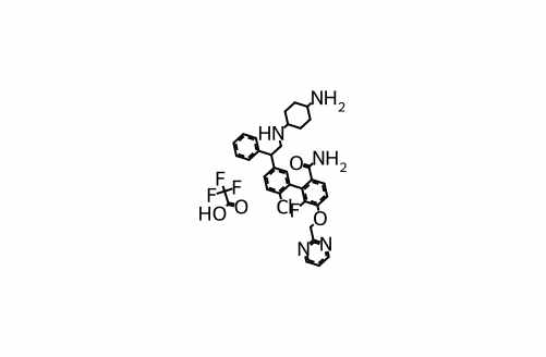 NC(=O)c1ccc(OCc2ncccn2)c(F)c1-c1cc(C(CNC2CCC(N)CC2)c2ccccc2)ccc1Cl.O=C(O)C(F)(F)F